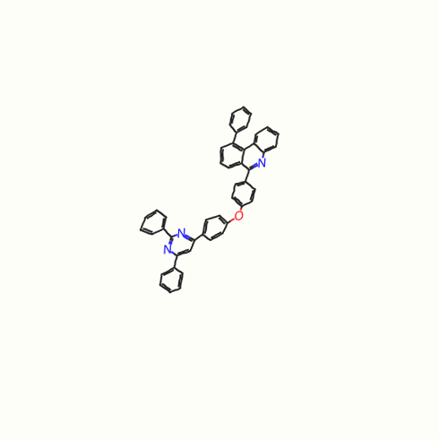 c1ccc(-c2cc(-c3ccc(Oc4ccc(-c5nc6ccccc6c6c(-c7ccccc7)cccc56)cc4)cc3)nc(-c3ccccc3)n2)cc1